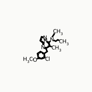 CCCN(CCC)c1c(C)c(Cc2ccc(OC)cc2Cl)nc2ccnn12